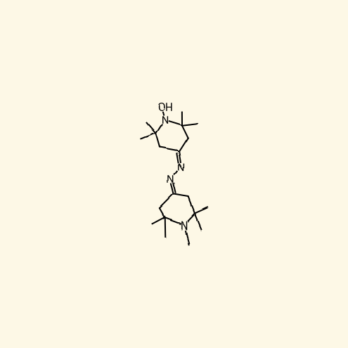 CN1C(C)(C)CC(=NN=C2CC(C)(C)N(O)C(C)(C)C2)CC1(C)C